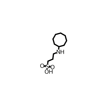 O=S(=O)(O)CCCNC1CCCCCCC1